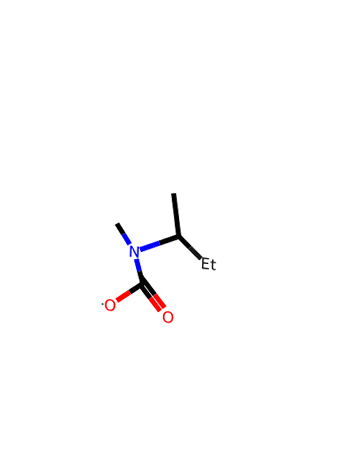 CCC(C)N(C)C([O])=O